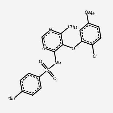 COc1ccc(Cl)c(Oc2c(C=O)ncnc2NS(=O)(=O)c2ccc(C(C)(C)C)cc2)c1